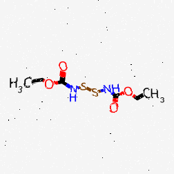 CCOC(=O)NSSNC(=O)OCC